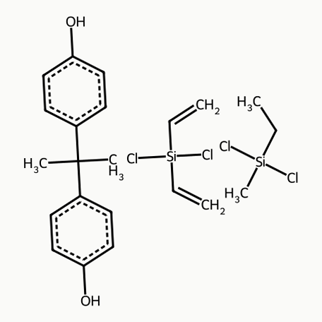 C=C[Si](Cl)(Cl)C=C.CC(C)(c1ccc(O)cc1)c1ccc(O)cc1.CC[Si](C)(Cl)Cl